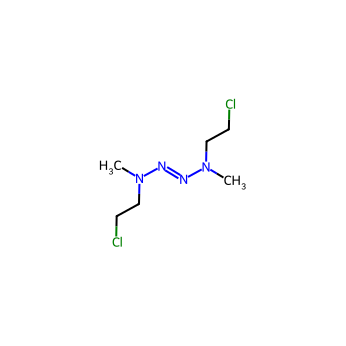 CN(CCCl)/N=N/N(C)CCCl